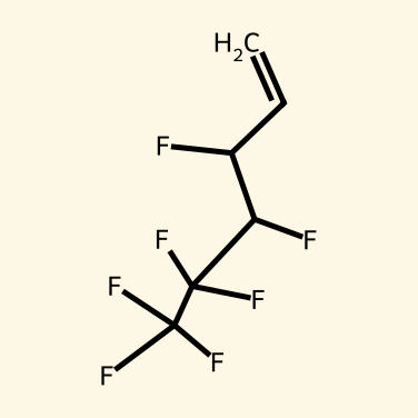 C=CC(F)C(F)C(F)(F)C(F)(F)F